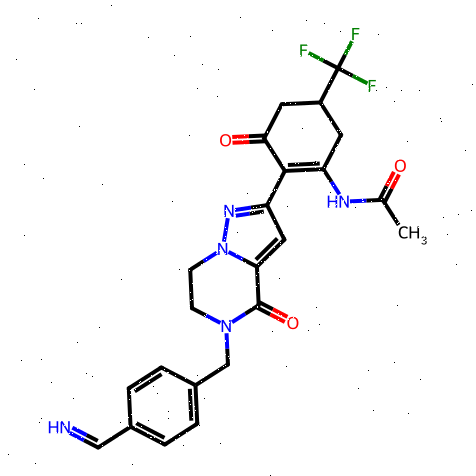 CC(=O)NC1=C(c2cc3n(n2)CCN(Cc2ccc(C=N)cc2)C3=O)C(=O)CC(C(F)(F)F)C1